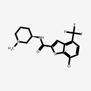 CN1CCC[C@@H](NC(=O)c2cc3c(C(F)(F)F)ccc(Cl)c3s2)C1